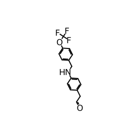 O=CCc1ccc(NCc2ccc(OC(F)(F)F)cc2)cc1